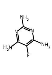 Nc1nc(N)c(F)c(N)n1